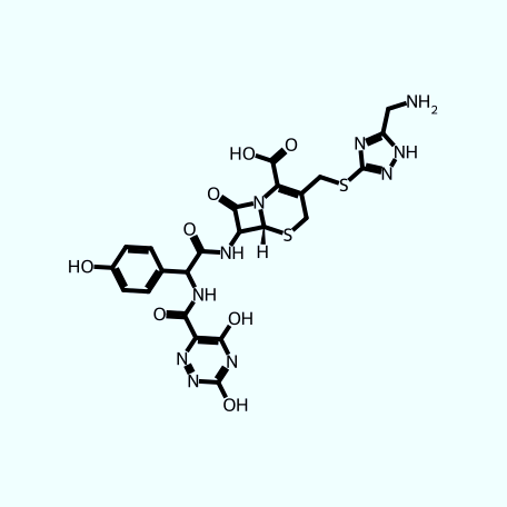 NCc1nc(SCC2=C(C(=O)O)N3C(=O)C(NC(=O)C(NC(=O)c4nnc(O)nc4O)c4ccc(O)cc4)[C@H]3SC2)n[nH]1